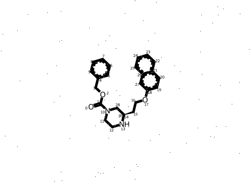 O=C(OCc1ccccc1)N1CCN[C@H](CCOc2ccc3ccccc3c2)C1